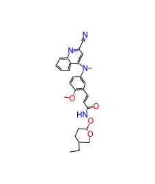 CCC1CCC(ONC(=O)/C=C/c2cc(N(C)c3cc(C#N)nc4ccccc34)ccc2OC)OC1